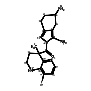 CC1(C(=O)n2nc3c(c2N)CC(N)CC3)CCNc2c(F)cccc21